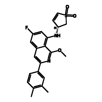 COc1nc(-c2ccc(C)c(C)c2)cc2cc(F)cc(N[C@@H]3C=CS(=O)(=O)C3)c12